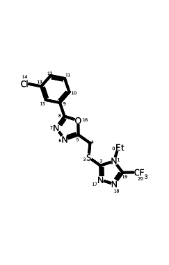 CCn1c(SCc2nnc(-c3cccc(Cl)c3)o2)nnc1C(F)(F)F